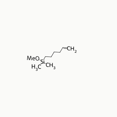 C=CCCCC[Si](C)(C)OC